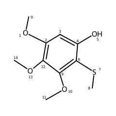 COc1cc(O)c(SC)c(OC)c1OC